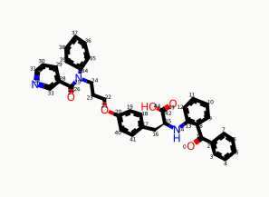 O=C(c1ccccc1)c1ccccc1N[C@@H](Cc1ccc(OCCCN(C(=O)c2cccnc2)c2ccccc2)cc1)C(=O)O